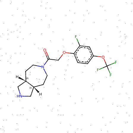 O=C(COc1ccc(OC(F)(F)F)cc1F)N1CC[C@@H]2CNC[C@@H]2CC1